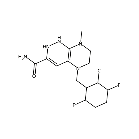 CN1CCN(CC2C(F)CCC(F)C2Cl)C2=C1NNC(C(N)=O)=C2